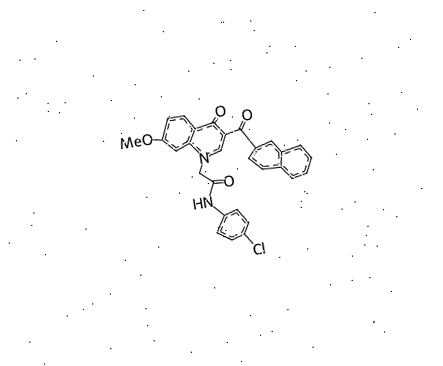 COc1ccc2c(=O)c(C(=O)c3ccc4ccccc4c3)cn(CC(=O)Nc3ccc(Cl)cc3)c2c1